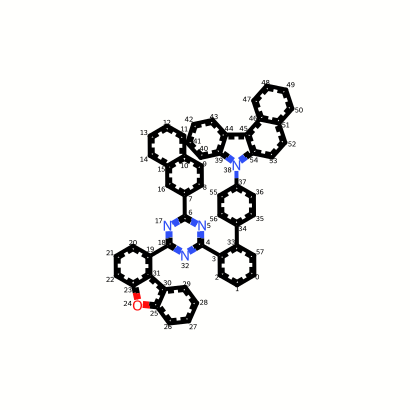 c1ccc(-c2nc(-c3ccc4ccccc4c3)nc(-c3cccc4oc5ccccc5c34)n2)c(-c2ccc(-n3c4ccccc4c4c5ccccc5ccc43)cc2)c1